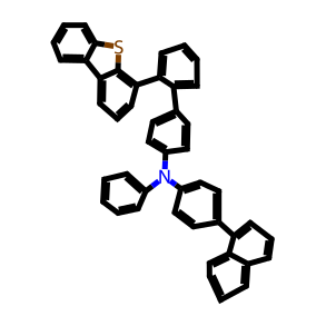 c1ccc(N(c2ccc(-c3ccccc3-c3cccc4c3sc3ccccc34)cc2)c2ccc(-c3cccc4ccccc34)cc2)cc1